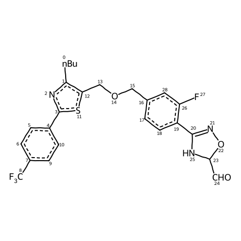 CCCCc1nc(-c2ccc(C(F)(F)F)cc2)sc1COCc1ccc(C2=NOC(C=O)N2)c(F)c1